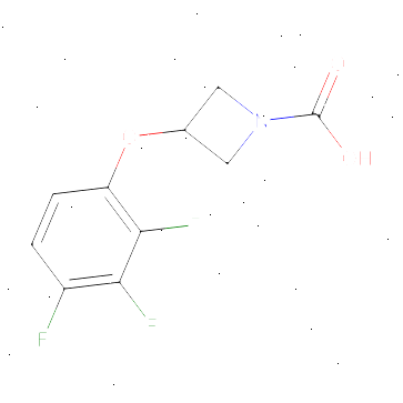 O=C(O)N1CC(Oc2ccc(F)c(F)c2F)C1